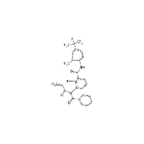 C=CC(=O)N(C(=O)c1ccccc1)c1cccc(C(=O)Nc2ccc(C(F)(C(F)(F)F)C(F)(F)F)cc2C(F)(F)F)c1F